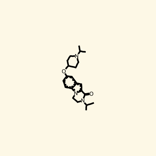 CC(C)N1CCC(Oc2ccc3c(c2)cc2n3CCN(C(C)C)C2=O)CC1